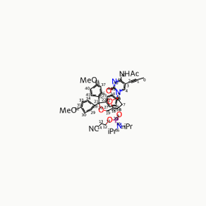 CC#Cc1cn([C@H]2C[C@H](OP(OCCC#N)N(C(C)C)C(C)C)[C@@H](COC(c3ccccc3)(c3ccc(OC)cc3)c3ccc(OC)cc3)O2)c(=O)nc1NC(C)=O